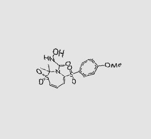 COc1ccc(S(=O)(=O)C2=CC=CS(=O)(=O)C(C)(C)N2C(=O)NO)cc1